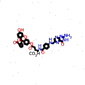 Nc1nc2ncc(CNc3ccc(C(=O)NC(CCC(=O)Oc4ccc5c(c4)Oc4cc(O)ccc4C54OC(=O)c5ccccc54)C(=O)O)cc3)nc2c(=O)[nH]1